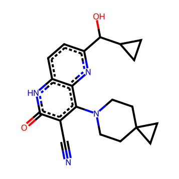 N#Cc1c(N2CCC3(CC2)CC3)c2nc(C(O)C3CC3)ccc2[nH]c1=O